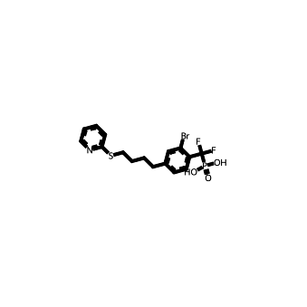 O=P(O)(O)C(F)(F)c1ccc(CCCCSc2ccccn2)cc1Br